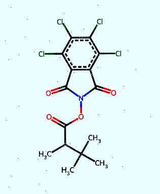 CC(C(=O)ON1C(=O)c2c(Cl)c(Cl)c(Cl)c(Cl)c2C1=O)C(C)(C)C